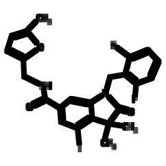 Cc1ccc(CNC(=O)c2cc(I)c3c(c2)N(Cc2c(F)cccc2F)C(=O)C3(C)C)o1